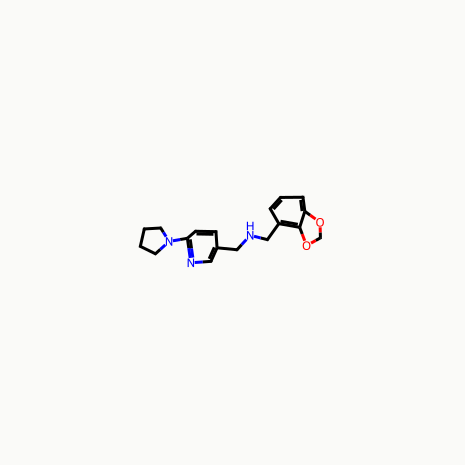 c1cc(CNCc2ccc(N3CCCC3)nc2)c2c(c1)OCO2